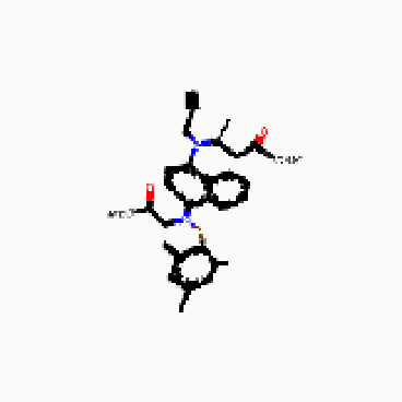 C#CCN(c1ccc(N(CC(=O)OC)Sc2c(C)cc(C)cc2C)c2ccccc12)[C@@H](C)CC(=O)OC